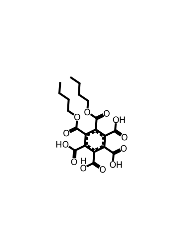 CCCCOC(=O)c1c(C(=O)O)c(C(=O)O)c(C(=O)O)c(C(=O)O)c1C(=O)OCCCC